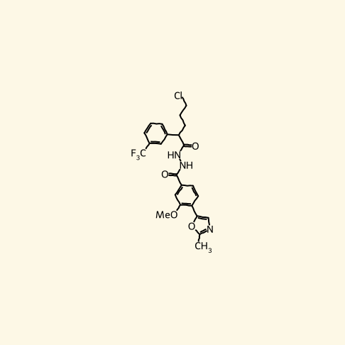 COc1cc(C(=O)NNC(=O)C(CCCCl)c2cccc(C(F)(F)F)c2)ccc1-c1cnc(C)o1